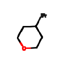 [CH2]C(C)C1CCOCC1